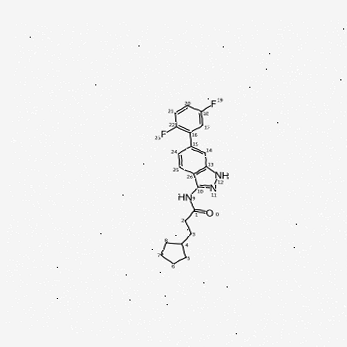 O=C(CCC1CCCC1)Nc1n[nH]c2cc(-c3cc(F)ccc3F)ccc12